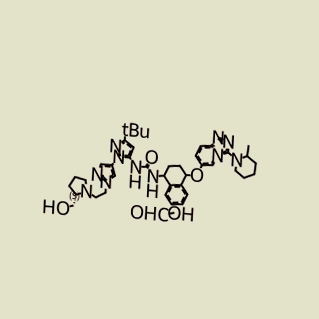 CC1CCCCN1c1nnc2ccc(OC3CCC(NC(=O)Nc4cc(C(C)(C)C)nn4-c4cnn(CCN5CCC[C@H]5CO)c4)c4ccccc43)cn12.O=CO